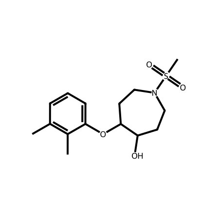 Cc1cccc(OC2CCN(S(C)(=O)=O)CCC2O)c1C